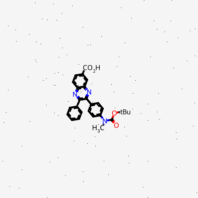 CN(C(=O)OC(C)(C)C)c1ccc(-c2nc3cc(C(=O)O)ccc3nc2-c2ccccc2)cc1